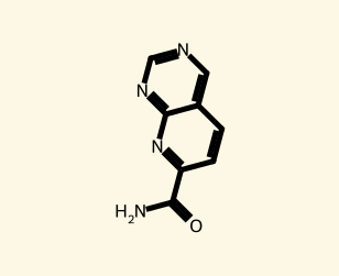 NC(=O)c1ccc2cncnc2n1